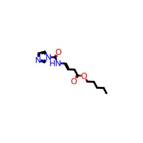 CCCCCOC(=O)CC=CNC(=O)n1ccnc1